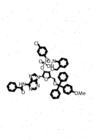 COc1ccc(C(OC[C@H]2O[C@@H](n3cnc4c(NC(=O)c5ccccc5)ncnc43)[C@H](OP(=O)(O)Oc3ccc(Cl)cc3)[C@@H]2OCc2ccccc2[N+](=O)[O-])(c2ccccc2)c2ccccc2)cc1